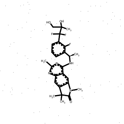 Cc1nc(N[C@H](C)c2cccc(C(F)(F)C(C)(O)CO)c2F)c2cc3c(cc2n1)C(C)(C)C(=O)N3C